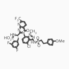 COc1ccc(CCS(=O)(=O)Nc2nn(C)c3c(-n4c([C@H](Cc5cc(F)cc(F)c5)NC(=O)O)nc5nc(C(F)(F)F)ccc5c4=O)ccc(Cl)c23)cc1